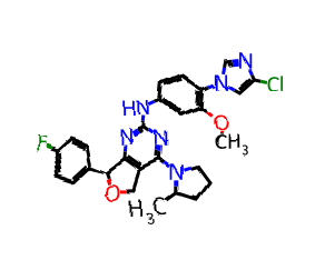 COc1cc(Nc2nc3c(c(N4CCCC4C)n2)CO[C@H]3c2ccc(F)cc2)ccc1-n1cnc(Cl)c1